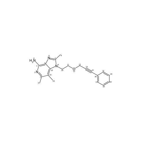 Cc1nc(N)c2nc(C)n(CCOCC#Cc3ccccc3)c2c1C